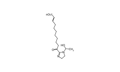 CCCCCCCCC=CCCCCCCCC(=O)C1=NCCN1C(C)O